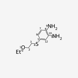 CCOCCSc1ccc(N)c(N)c1